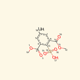 COC(=O)c1cccc(C(=O)OC)c1S(=O)(=O)O.[LiH]